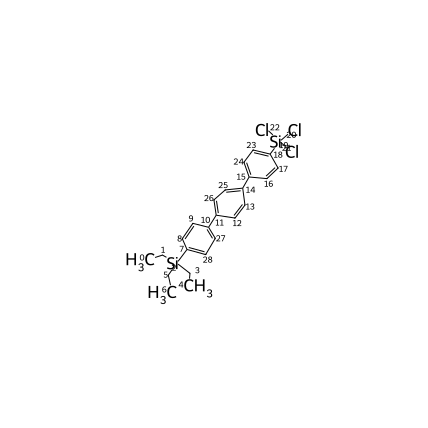 CC[Si](CC)(CC)c1ccc(-c2ccc(-c3ccc([Si](Cl)(Cl)Cl)cc3)cc2)cc1